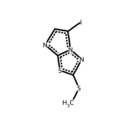 CSc1nn2c(I)cnc2s1